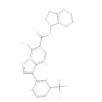 Cc1c(C(=O)NC2CCc3ccccc32)cnc2c(-c3cccc(C(F)(F)F)c3)cnn12